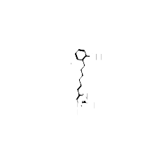 Cc1nc(C=CCCCCc2c(C)cccc2C)c[nH]1